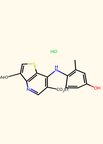 CCOC(=O)c1cnc2c(OC)csc2c1Nc1ccc(O)cc1C.Cl